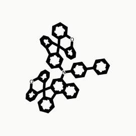 c1ccc(-c2ccc(N(c3ccc4c(c3)C3(c5ccccc5Oc5ccccc53)c3ccccc3-4)c3cc4c(c5ccccc35)-c3ccccc3C43c4ccccc4Oc4ccccc43)cc2)cc1